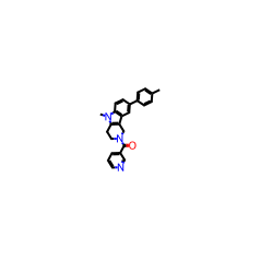 Cc1ccc(-c2ccc3c(c2)c2c(n3C)CCN(C(=O)c3cccnc3)C2)cc1